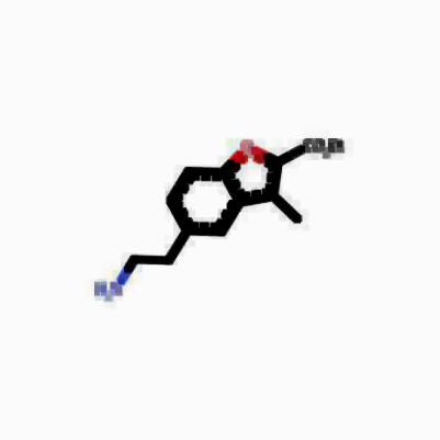 CCOC(=O)c1oc2ccc(CCN)cc2c1C